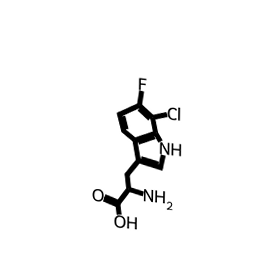 NC(Cc1c[nH]c2c(Cl)c(F)ccc12)C(=O)O